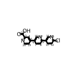 O=C(O)c1cc(-c2ccc(-c3ccc(Cl)nc3)nc2)ccn1